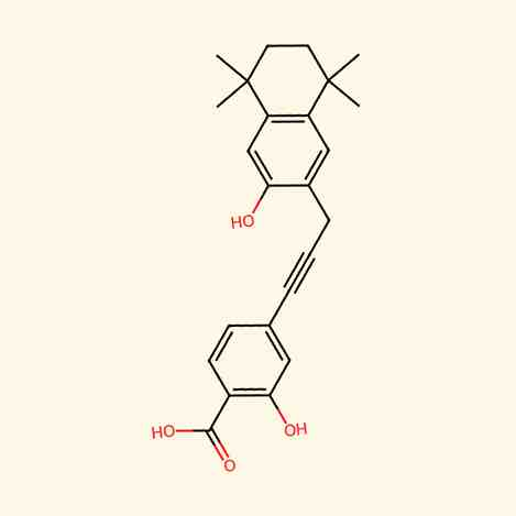 CC1(C)CCC(C)(C)c2cc(CC#Cc3ccc(C(=O)O)c(O)c3)c(O)cc21